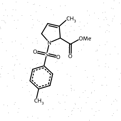 COC(=O)C1C(C)=CCN1S(=O)(=O)c1ccc(C)cc1